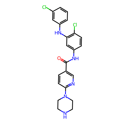 O=C(Nc1ccc(Cl)c(Nc2cccc(Cl)c2)c1)c1ccc(N2CCNCC2)nc1